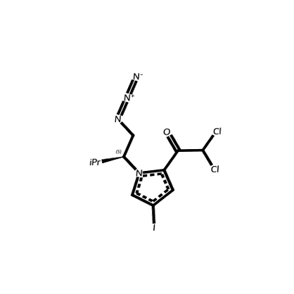 CC(C)[C@@H](CN=[N+]=[N-])n1cc(I)cc1C(=O)C(Cl)Cl